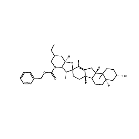 CCC1C[C@H]2OC3(CC[C@@H]4C(=C3C)C[C@H]3C4CC[C@@H]4C[C@@H](O)CCC43C)[C@H](C)C2N(C(=O)OCc2ccccc2)C1